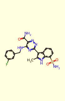 Cc1[nH]c2c(S(N)(=O)=O)cccc2c1-c1nnc(C(N)=O)c(NCc2cccc(F)c2)n1